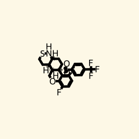 O=S(=O)(c1ccc(C(F)(F)F)cc1)[C@@]12CC[C@H]3NSCC[C@H]3[C@@H]1COc1c(F)ccc(F)c12